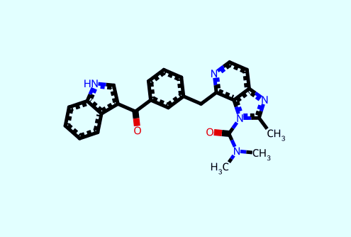 Cc1nc2ccnc(Cc3cccc(C(=O)c4c[nH]c5ccccc45)c3)c2n1C(=O)N(C)C